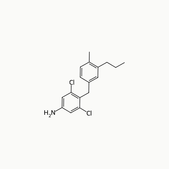 CCCc1cc(Cc2c(Cl)cc(N)cc2Cl)ccc1C